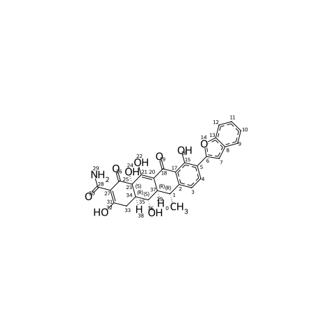 C[C@H]1c2ccc(-c3cc4ccccc4o3)c(O)c2C(=O)C2=C(O)[C@]3(O)C(=O)C(C(N)=O)=C(O)C[C@@H]3[C@@H](O)[C@@H]21